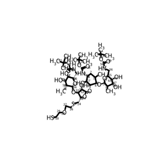 CC1[C@@H](O[C@@H]2C(C)C[C@@H](NC(=O)OC(C)(C)C)C(O)[C@H]2O[C@@H]2O[C@H](CSCCOCCS)C(OC3O[C@@H](CNC(=O)OC(C)(C)C)C(O)[C@@H](O)[C@H]3C)[C@@H]2O)OC(CNC(=O)OC(C)(C)C)[C@@H](O)[C@@H]1O